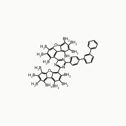 Bc1c(B)c(B)c2c(oc3c(-c4nc(-c5ccc(-c6cccc(-c7ccccc7)c6)cc5)nc(-c5c(B)c(B)c(B)c6oc7c(B)c(B)c(B)c(B)c7c56)n4)c(B)c(B)c(B)c32)c1B